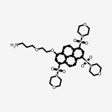 NCCCOCCOc1cc(S(=O)(=O)N2CCOCC2)c2ccc3c(S(=O)(=O)N4CCOCC4)cc(S(=O)(=O)N4CCOCC4)c4ccc1c2c43